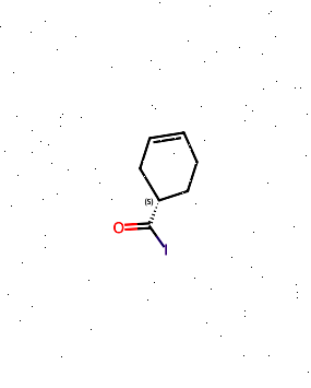 O=C(I)[C@@H]1CC=CCC1